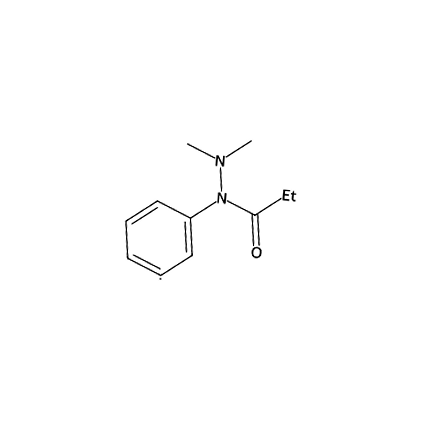 CCC(=O)N(c1c[c]ccc1)N(C)C